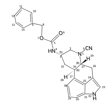 N#CN1C[C@@H](NC(=O)OCc2ccccc2)C[C@@H]2c3cccc4[nH]cc(c34)C[C@H]21